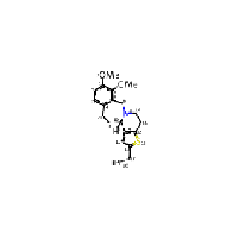 COc1ccc2c(c1OC)CN1CCc3sc(CC(C)C)cc3[C@@H]1CC2